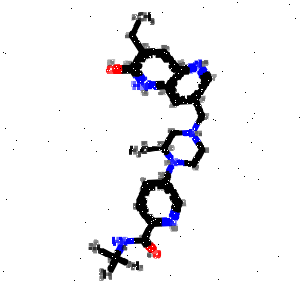 [2H]C([2H])([2H])NC(=O)c1ccc(N2CCN(Cc3cnc4cc(CC)c(=O)[nH]c4c3)C[C@@H]2C)cn1